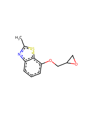 Cc1nc2cccc(OCC3CO3)c2s1